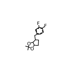 CC1(C)OC2CCC(Cc3ccc(F)c(F)c3)C2O1